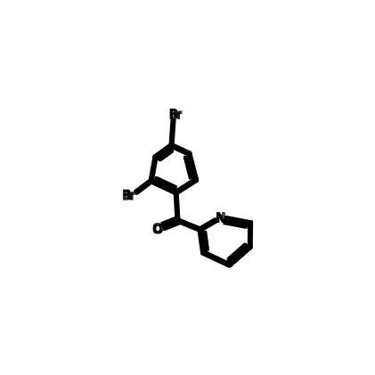 O=C(c1ccccn1)c1ccc(Br)cc1Br